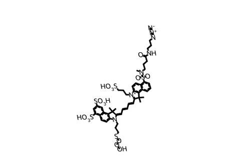 CN(CCCC(=O)NCCCN=[N+]=[N-])S(=O)(=O)c1cccc2c3c(ccc12)[N+](CCCS(=O)(=O)O)=C(/C=C/C=C/C=C1/N(CCCSOOO)c2ccc4c(S(=O)(=O)O)cc(S(=O)(=O)O)cc4c2C1(C)C)C3(C)C